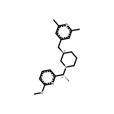 COc1cccc([C@@H](C)N2CCC[C@H](Cc3cc(C)nc(C)c3)C2)n1